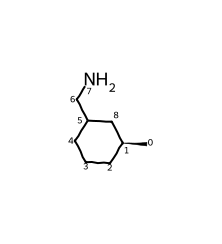 C[C@H]1CCCC(CN)C1